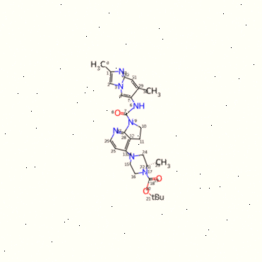 Cc1cn2cc(NC(=O)N3CCc4c(N5CCN(C(=O)OC(C)(C)C)[C@@H](C)C5)ccnc43)c(C)cc2n1